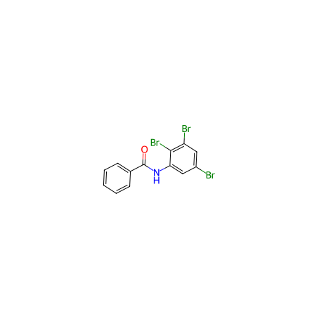 O=C(Nc1cc(Br)cc(Br)c1Br)c1ccccc1